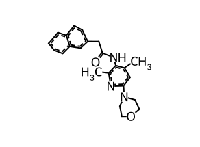 Cc1cc(N2CCOCC2)nc(C)c1NC(=O)Cc1ccc2ccccc2c1